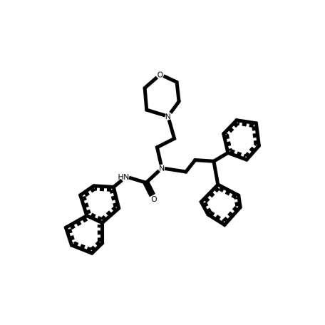 O=C(Nc1ccc2ccccc2c1)N(CCC(c1ccccc1)c1ccccc1)CCN1CCOCC1